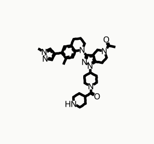 CC(=O)N1CCc2c(c(N3CCCc4cc(-c5cnn(C)c5)c(C)cc43)nn2C2CCN(C(=O)C3CCNCC3)CC2)C1